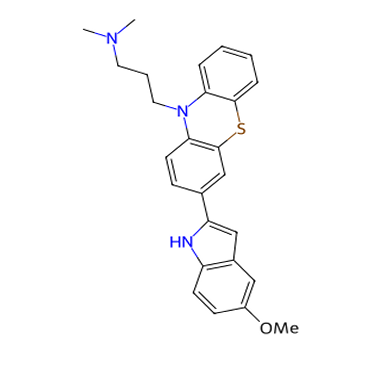 COc1ccc2[nH]c(-c3ccc4c(c3)Sc3ccccc3N4CCCN(C)C)cc2c1